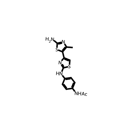 CC(=O)Nc1ccc(Nc2nc(-c3sc(N)nc3C)cs2)cc1